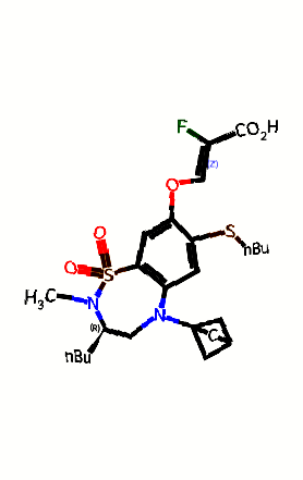 CCCCSc1cc2c(cc1O/C=C(\F)C(=O)O)S(=O)(=O)N(C)[C@H](CCCC)CN2C12CC(C1)C2